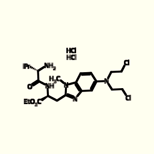 CCOC(=O)[C@H](Cc1nc2cc(N(CCCl)CCCl)ccc2n1C)NC(=O)[C@@H](N)C(C)C.Cl.Cl